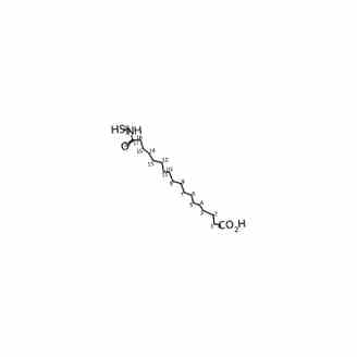 O=C(O)CCCCCCCCCCCCCCCCC(=O)NS